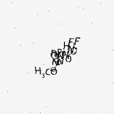 CCCOc1nc(NC(=O)c2cccc(C(F)F)n2)cn2cc(C34COC(C)(C3)C4)nc12